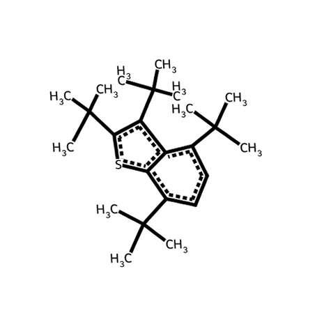 CC(C)(C)c1sc2c(C(C)(C)C)ccc(C(C)(C)C)c2c1C(C)(C)C